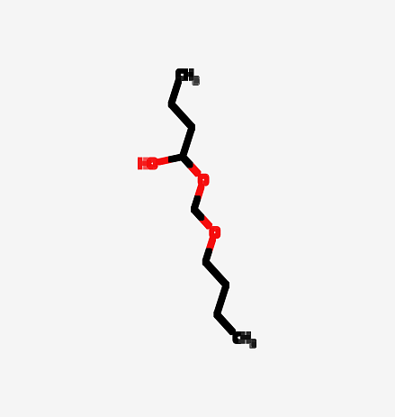 CCCCOCOC(O)CCC